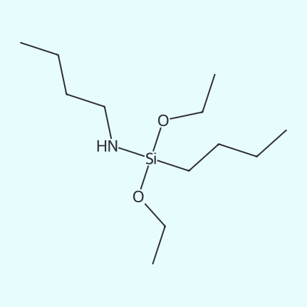 CCCCN[Si](CCCC)(OCC)OCC